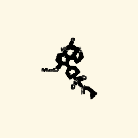 COc1ccc2[nH]c(=O)c3sccc3c2c1-c1ccc(S(=O)(=O)NCC2CC2)cc1